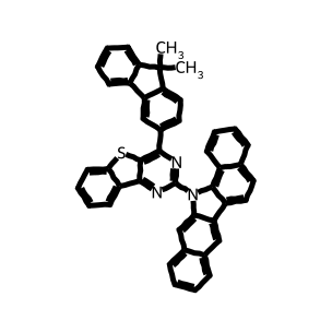 CC1(C)c2ccccc2-c2cc(-c3nc(-n4c5cc6ccccc6cc5c5ccc6ccccc6c54)nc4c3sc3ccccc34)ccc21